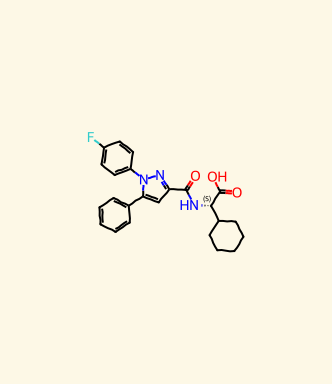 O=C(N[C@H](C(=O)O)C1CCCCC1)c1cc(-c2ccccc2)n(-c2ccc(F)cc2)n1